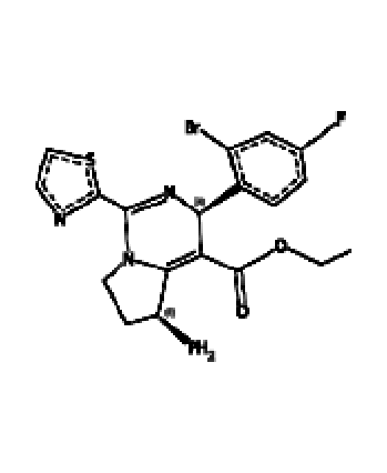 CCOC(=O)C1=C2[C@@H](P)CCN2C(c2nccs2)=N[C@H]1c1ccc(F)cc1Br